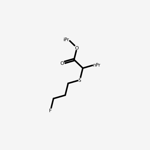 CCCC(SCCCF)C(=O)OC(C)C